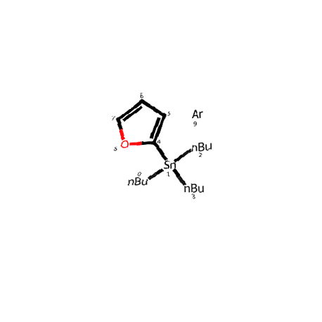 CCC[CH2][Sn]([CH2]CCC)([CH2]CCC)[c]1ccco1.[Ar]